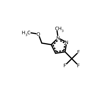 COCc1cc(C(F)(F)F)nn1C